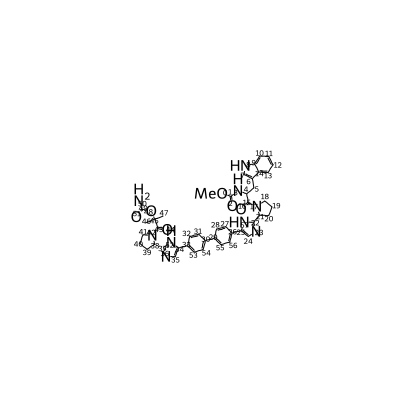 COC(=O)NC(Cc1c[nH]c2ccccc12)C(=O)N1CCCC1c1ncc(-c2ccc(-c3ccc(-c4cnc([C@@H]5CCCN5C(=O)C(C)(C)OC(N)=O)[nH]4)cc3)cc2)[nH]1